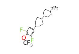 CCCC1CCC(C2CCC(c3cc(F)c(OC(F)(F)F)c(F)c3)CC2)CC1